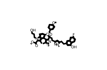 COC(=O)c1c(C)c2c(-c3c(C(C)(CCc4cc(CCc5cc(O)c6ccc(F)cc6c5)n(C)n4)OCc4ccc(OC)cc4)nn(C)c3C)c(Cl)ccc2n1CCCO